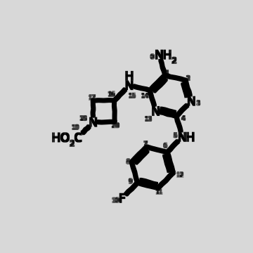 Nc1cnc(Nc2ccc(F)cc2)nc1NC1CN(C(=O)O)C1